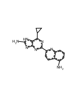 Nc1nc2nc(-c3ccc4c(N)cccc4n3)nc(C3CC3)c2[nH]1